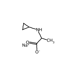 CC(NC1CC1)C(=O)[O-].[Na+]